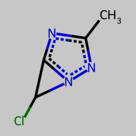 Cc1nc2n(n1)C2Cl